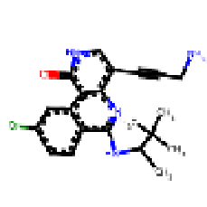 CC(Nc1nc2c(C#CCN)c[nH]c(=O)c2c2cc(Br)ccc12)C(C)(C)C